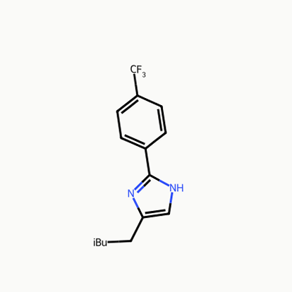 CCC(C)Cc1c[nH]c(-c2ccc(C(F)(F)F)cc2)n1